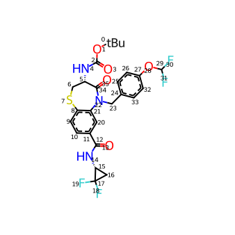 CC(C)(C)OC(=O)N[C@H]1CSc2ccc(C(=O)N[C@@H]3CC3(F)F)cc2N(Cc2ccc(OC(F)F)cc2)C1=O